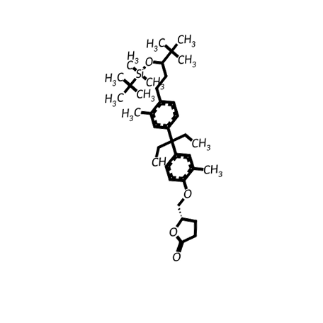 CCC(CC)(c1ccc(CCC(O[Si](C)(C)C(C)(C)C)C(C)(C)C)c(C)c1)c1ccc(OC[C@@H]2CCC(=O)O2)c(C)c1